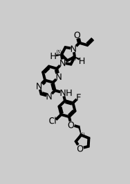 C=CC(=O)N1C[C@@H]2C[C@H]1CN2c1ccc2ncnc(Nc3cc(Cl)c(OC[C@H]4CCOC4)cc3F)c2n1